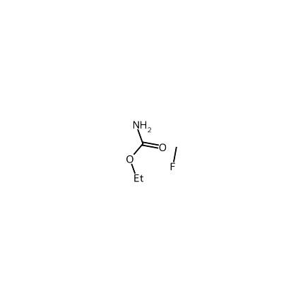 CCOC(N)=O.CF